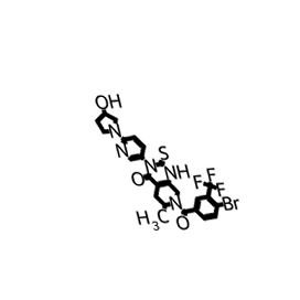 CC1Cc2c([nH]c(=S)n(-c3ccc(N4CCC(O)C4)nc3)c2=O)CN1C(=O)c1ccc(Br)c(C(F)(F)F)c1